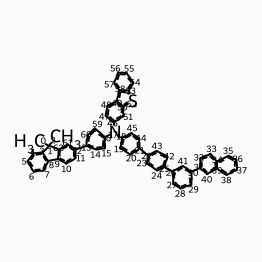 CC1(C)c2ccccc2-c2ccc(-c3ccc(N(c4ccc(-c5ccc(-c6cccc(-c7ccc8ccccc8c7)c6)cc5)cc4)c4ccc5c(c4)sc4ccccc45)cc3)cc21